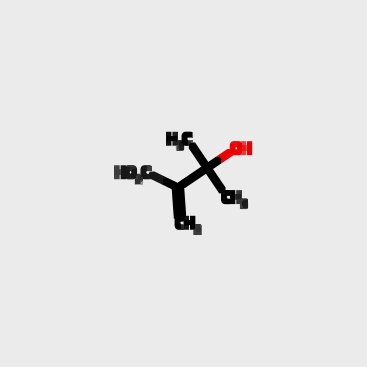 C=C(C(=O)O)C(C)(C)O